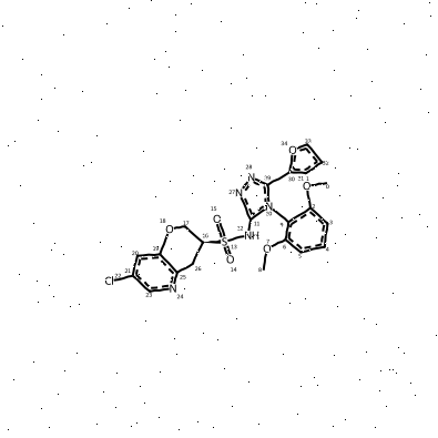 COc1cccc(OC)c1-n1c(NS(=O)(=O)[C@@H]2COc3cc(Cl)cnc3C2)nnc1-c1ccco1